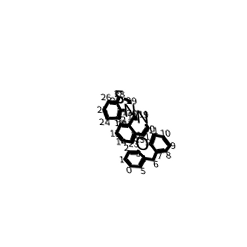 c1ccc2c(c1)Cc1ccccc1O2.c1ccc2cnccc2c1.c1ccc2scnc2c1